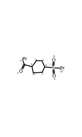 CC(C)C(=O)C1CCC(S(=O)(=O)C(C)C)CC1